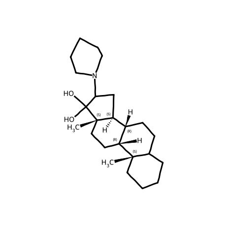 C[C@]12CCCCC1CC[C@@H]1[C@H]2CC[C@@]2(C)[C@H]1CC(N1CCCCC1)C2(O)O